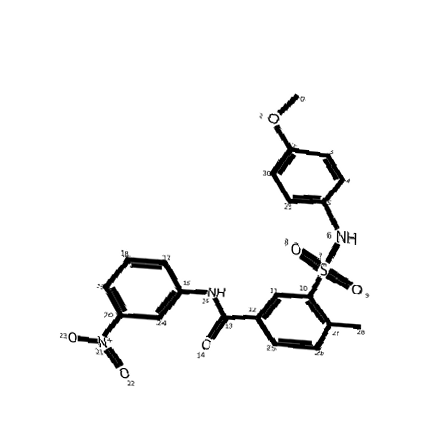 COc1ccc(NS(=O)(=O)c2cc(C(=O)Nc3cccc([N+](=O)[O-])c3)ccc2C)cc1